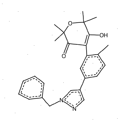 Cc1ccc(-c2cnn(Cc3ccccc3)c2)cc1C1=C(O)C(C)(C)OC(C)(C)C1=O